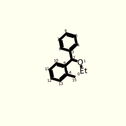 CCOC(c1ccccc1)c1ccccc1C